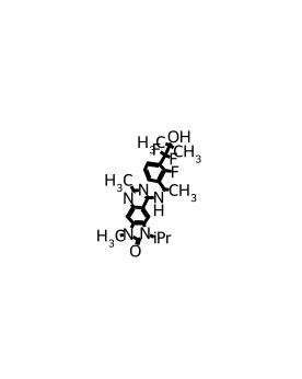 Cc1nc(NC(C)c2cccc(C(F)(F)C(C)(C)O)c2F)c2cc3c(cc2n1)n(C)c(=O)n3C(C)C